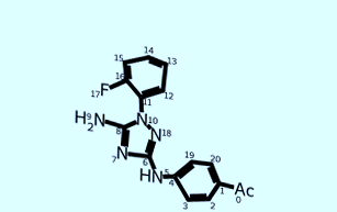 CC(=O)c1ccc(Nc2nc(N)n(-c3ccccc3F)n2)cc1